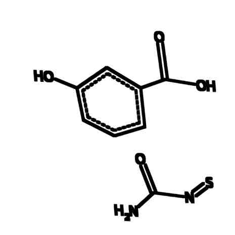 NC(=O)N=S.O=C(O)c1cccc(O)c1